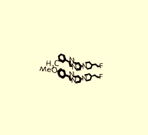 COc1ccc(-c2cn3ccc(N4CCC(CCF)CC4)cc3n2)cc1.Cc1cccc(-c2cn3ccc(N4CCC(CCF)CC4)cc3n2)c1